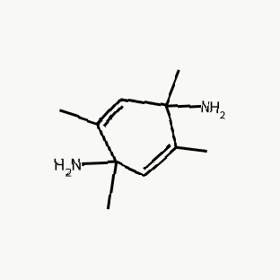 CC1=CC(C)(N)C(C)=CC1(C)N